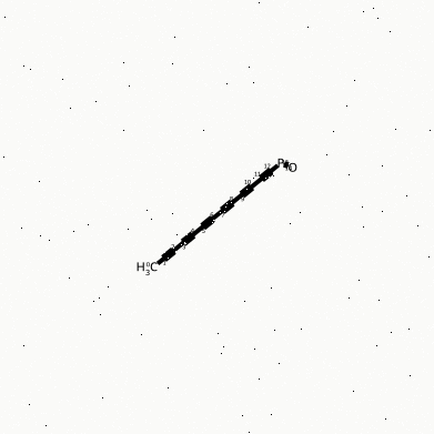 CC#CC#CC#CC#CC#CC#CP=O